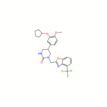 COc1ccc(C2CNC(=O)N(Cc3nc4c(C(F)(F)F)cccc4o3)C2)cc1OC1CCCC1